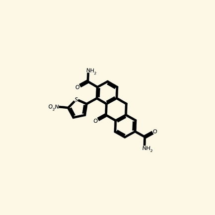 NC(=O)c1ccc2c(c1)Cc1ccc(C(N)=O)c(-c3ccc([N+](=O)[O-])s3)c1C2=O